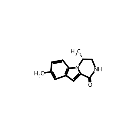 Cc1ccc2c(c1)cc1n2[C@H](C)CNC1=O